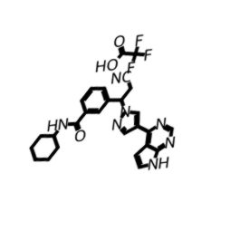 N#CCC(c1cccc(C(=O)NC2CCCCC2)c1)n1cc(-c2ncnc3[nH]ccc23)cn1.O=C(O)C(F)(F)F